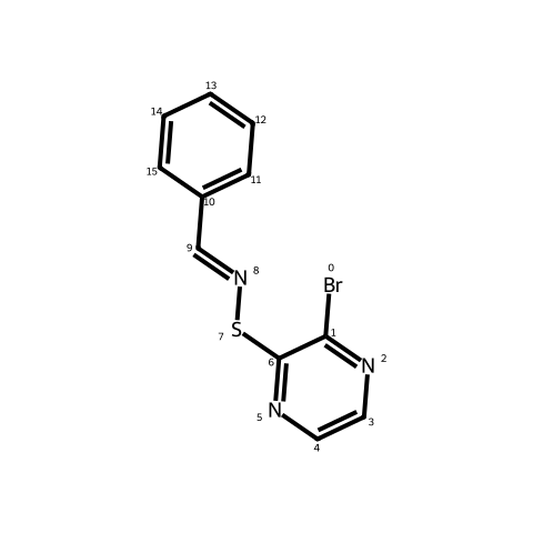 Brc1nccnc1SN=Cc1ccccc1